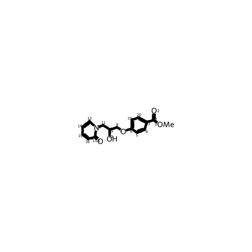 COC(=O)c1ccc(OCC(O)Cn2ccccc2=O)cc1